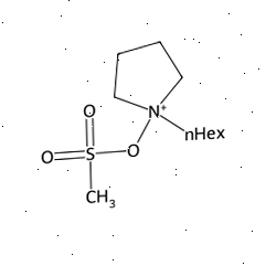 CCCCCC[N+]1(OS(C)(=O)=O)CCCC1